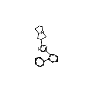 c1ccc(-c2ccccc2-c2cnc(C3CC4CCCN4C3)s2)cc1